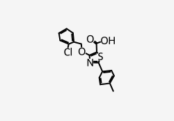 Cc1ccc(-c2nc(OCc3ccccc3Cl)c(C(=O)O)s2)cc1